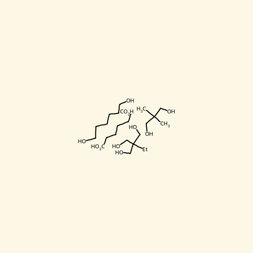 CC(C)(CO)CO.CCC(CO)(CO)CO.O=C(O)CCCCC(=O)O.OCCCCCCO